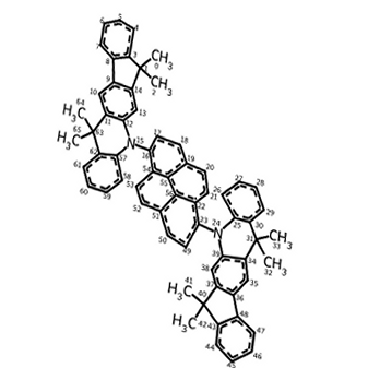 CC1(C)c2ccccc2-c2cc3c(cc21)N(c1ccc2ccc4c(N5c6ccccc6C(C)(C)c6cc7c(cc65)C(C)(C)c5ccccc5-7)ccc5ccc1c2c54)c1ccccc1C3(C)C